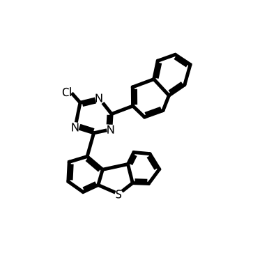 Clc1nc(-c2ccc3ccccc3c2)nc(-c2cccc3sc4ccccc4c23)n1